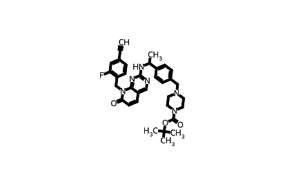 C#Cc1ccc(Cn2c(=O)ccc3cnc(NC(C)c4ccc(CN5CCN(C(=O)OC(C)(C)C)CC5)cc4)nc32)c(F)c1